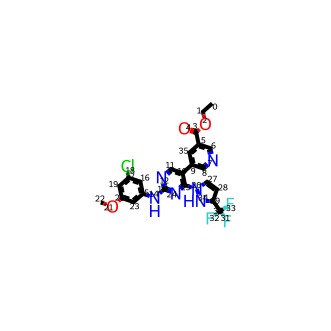 CCOC(=O)c1cncc(-c2cnc(Nc3cc(Cl)cc(OC)c3)nc2N2C=CC(C(F)(F)F)N2)c1